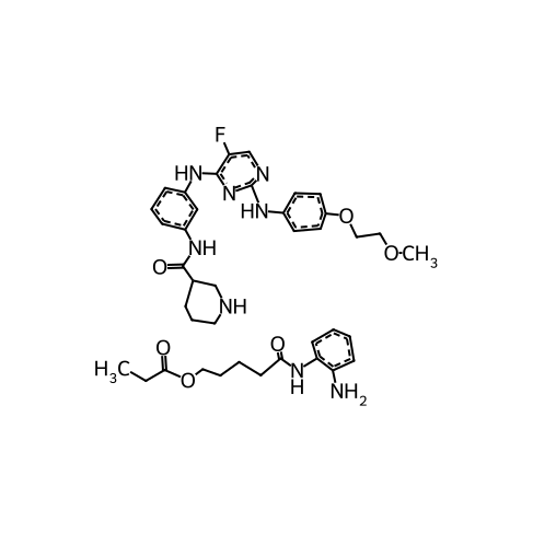 CCC(=O)OCCCCC(=O)Nc1ccccc1N.COCCOc1ccc(Nc2ncc(F)c(Nc3cccc(NC(=O)C4CCCNC4)c3)n2)cc1